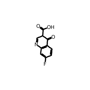 O=C(O)C1C=Nc2cc(F)ccc2C1=O